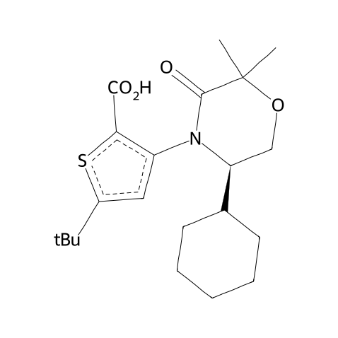 CC1(C)OC[C@@H](C2CCCCC2)N(c2cc(C(C)(C)C)sc2C(=O)O)C1=O